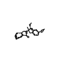 COC(=O)[C@](C)(Cc1ccc(Cl)cc1)N1Cc2ccccc2C1=O